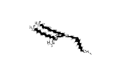 CCCCCCCCCCCCOC(CCCCCCCCCCC)CC(=O)OC(C)CCCCCCCCCCC